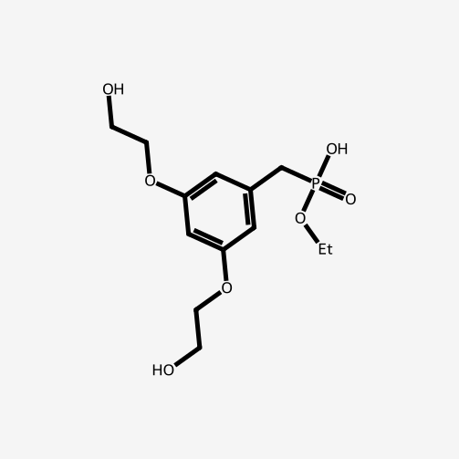 CCOP(=O)(O)Cc1cc(OCCO)cc(OCCO)c1